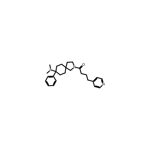 CN(C)C1(c2ccccc2)CCC2(CCN(C(=O)CCCc3ccncc3)C2)CC1